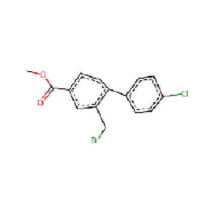 COC(=O)c1ccc(-c2ccc(Cl)cc2)c(CBr)c1